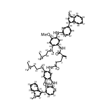 C=C(CCC(=O)Nc1cc(Nc2nccc(-c3cn(C)c4ccccc34)n2)c(OC)cc1N(C)CCN(C)C)C(=O)Nc1cc(Nc2nccc(-c3cn(C)c4ccccc34)n2)c(OC)cc1N(C)CCN(C)C